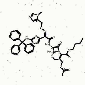 CCCCOC(=O)C1=C(COC(C)=O)CS[C@@H]2[C@H](NC(=O)/C(=N/OCc3cncn3C)c3csc(NC(c4ccccc4)(c4ccccc4)c4ccccc4)n3)C(=O)N12